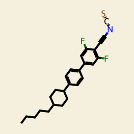 CCCCCC1CCC(c2ccc(-c3cc(F)c(C#CN=C=S)c(F)c3)cc2)CC1